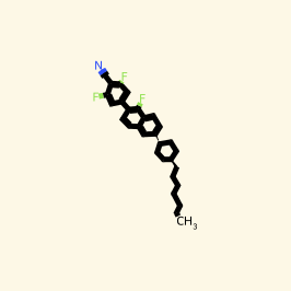 CCCCCCC[C@H]1CC[C@H](c2ccc3c(F)c(-c4cc(F)c(C#N)c(F)c4)ccc3c2)CC1